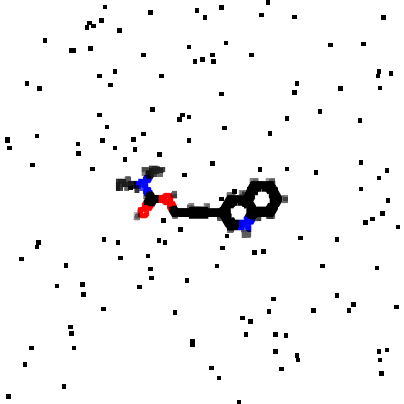 CC(C)N(C(=O)OCC#Cc1cnc2ccccc2c1)C(C)C